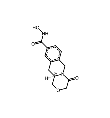 O=C(NO)c1ccc2c(c1)C[C@@H]1COCC(=O)N1C2